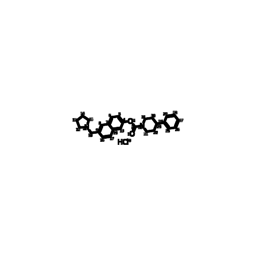 Cl.O=C(Oc1ccc2cc(CN3CCCC3)ccc2c1)N1CCC(c2ccccc2)CC1